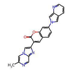 Cc1cn2cc(-c3cc4ccc(-n5cc6cccnc6c5)cc4oc3=O)nc2cn1